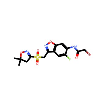 CC1(C)CC(S(=O)(=O)Cc2noc3cc(NC(=O)CBr)c(F)cc23)=NO1